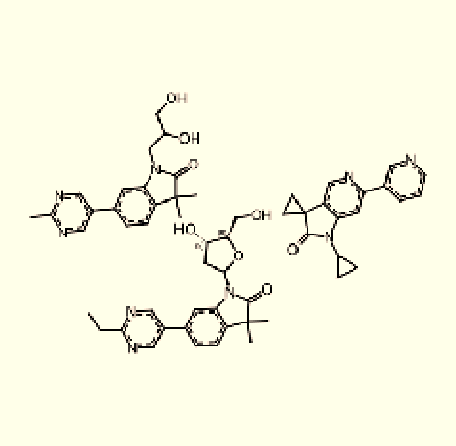 CCc1ncc(-c2ccc3c(c2)N(C2C[C@H](O)[C@@H](CO)O2)C(=O)C3(C)C)cn1.Cc1ncc(-c2ccc3c(c2)N(CC(O)CO)C(=O)C3(C)C)cn1.O=C1N(C2CC2)c2cc(-c3cccnc3)ncc2C12CC2